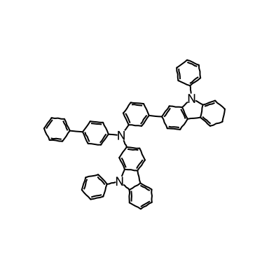 C1=c2c(n(-c3ccccc3)c3cc(-c4cccc(N(c5ccc(-c6ccccc6)cc5)c5ccc6c7ccccc7n(-c7ccccc7)c6c5)c4)ccc23)=CCC1